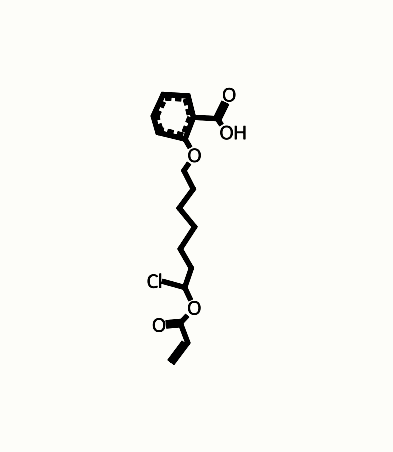 C=CC(=O)OC(Cl)CCCCCCOc1ccccc1C(=O)O